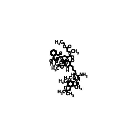 CCOC(=O)CN(C)C(=O)C(CN(C)S(=O)(=O)c1ccccc1[N+](=O)[O-])NC(=O)C(CCCNC(N)=NS(=O)(=O)c1c(C)c(C)c2c(c1C)CC(C)(C)O2)NC(=O)OC(C)(C)C